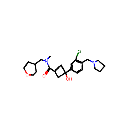 CN(CC1CCOCC1)C(=O)C1CC(O)(c2ccc(CN3CCCC3)c(Cl)c2)C1